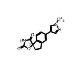 Cn1cc(-c2ccc3c(c2)CC[C@]32OC(=O)NC2=O)cn1